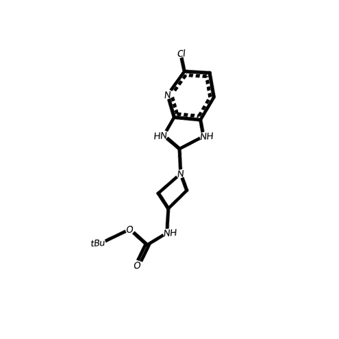 CC(C)(C)OC(=O)NC1CN(C2Nc3ccc(Cl)nc3N2)C1